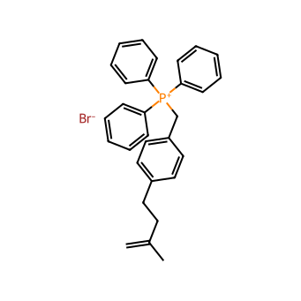 C=C(C)CCc1ccc(C[P+](c2ccccc2)(c2ccccc2)c2ccccc2)cc1.[Br-]